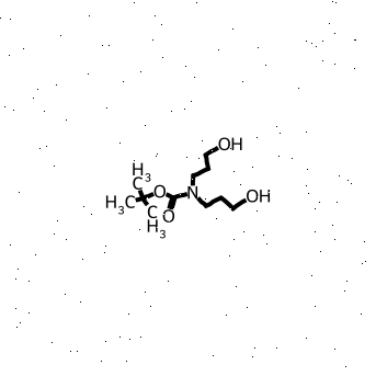 CC(C)(C)OC(=O)N(CCCO)CCCO